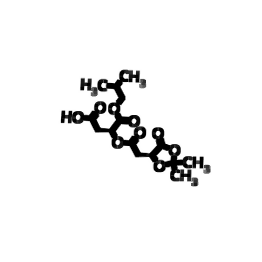 CC(C)COC(=O)[C@H](CC(=O)O)OC(=O)C[C@@H]1OC(C)(C)OC1=O